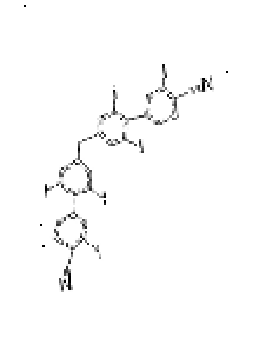 N#Cc1ccc(-c2c(I)cc(Cc3cc(I)c(-c4ccc(C#N)c(I)c4)c(I)c3)cc2I)cc1I